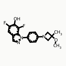 COC1(C)CN(c2ccc(-n3ncc4cc(F)c(O)c(F)c43)cc2)C1